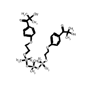 CC(C)(O)C(=O)c1ccc(OCCO[Si](C)(C)O[Si](C)(C)O[Si](C)(C)OCCOc2ccc(C(=O)C(C)(C)O)cc2)cc1